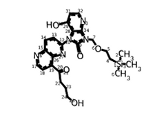 C[Si](C)(C)CCOCn1c(=O)n(-c2ccc3nccc(C(=O)CCCO)c3n2)c2c(O)ccnc21